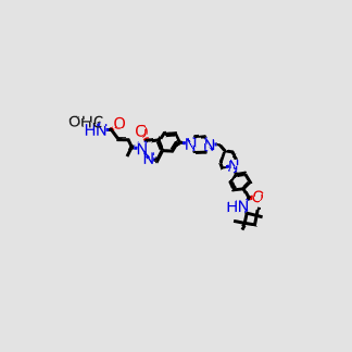 CC(CCC(=O)NC=O)n1ncc2cc(N3CCN(CC4CCN(c5ccc(C(=O)NC6C(C)(C)CC6(C)C)cc5)CC4)CC3)ccc2c1=O